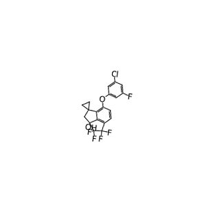 OC12CC3(CC3)c3c(Oc4cc(F)cc(Cl)c4)ccc(c31)C(F)(F)C2(F)F